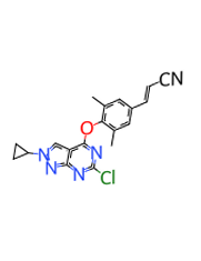 Cc1cc(/C=C/C#N)cc(C)c1Oc1nc(Cl)nc2nn(C3CC3)cc12